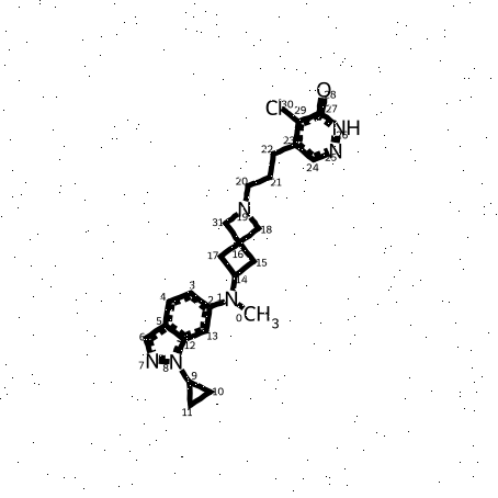 CN(c1ccc2cnn(C3CC3)c2c1)C1CC2(C1)CN(CCCc1cn[nH]c(=O)c1Cl)C2